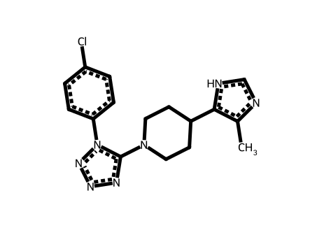 Cc1nc[nH]c1C1CCN(c2nnnn2-c2ccc(Cl)cc2)CC1